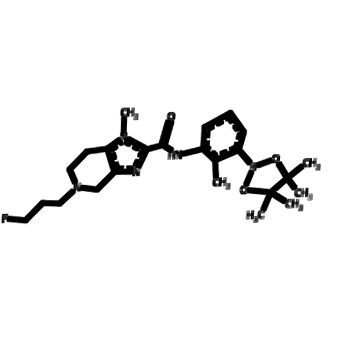 Cc1c(NC(=O)c2nc3c(n2C)CCN(CCCF)C3)cccc1B1OC(C)(C)C(C)(C)O1